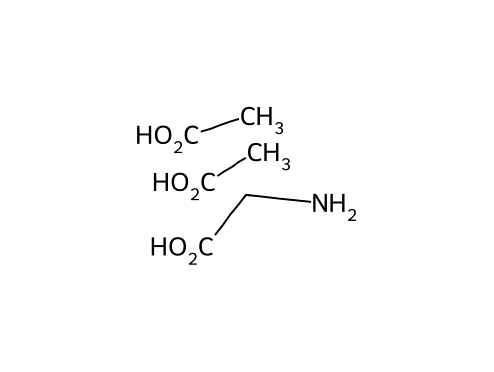 CC(=O)O.CC(=O)O.NCC(=O)O